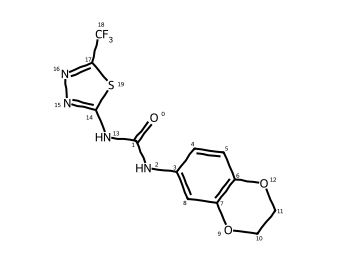 O=C(Nc1ccc2c(c1)OCCO2)Nc1nnc(C(F)(F)F)s1